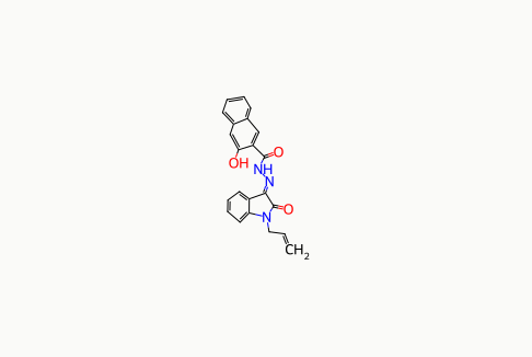 C=CCN1C(=O)/C(=N/NC(=O)c2cc3ccccc3cc2O)c2ccccc21